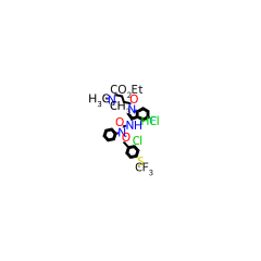 CCOC(=O)C(CCC(=O)n1cc(NC(=O)N(OCc2ccc(SC(F)(F)F)cc2Cl)c2ccccc2)c2cc(F)ccc21)N(C)C.Cl